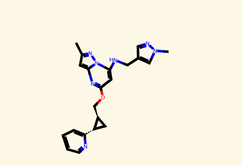 Cc1cc2nc(OC[C@H]3C[C@@H]3c3ccccn3)cc(NCc3cnn(C)c3)n2n1